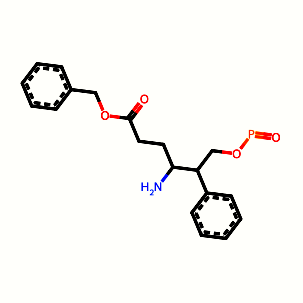 NC(CCC(=O)OCc1ccccc1)C(COP=O)c1ccccc1